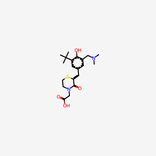 CN(C)Cc1cc(C=C2SCCN(CC(=O)O)C2=O)cc(C(C)(C)C)c1O